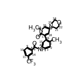 Cc1ccc(NC(=O)c2cccc(C(F)(F)F)c2)cc1-c1cc(N2CCOCC2)cn(C)c1=O